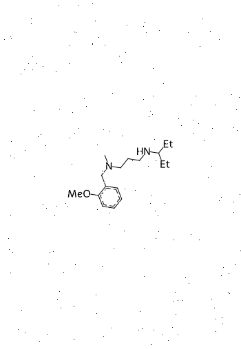 CCC(CC)NCCCN(C)Cc1ccccc1OC